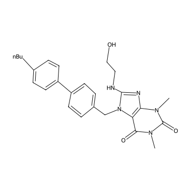 CCCCc1ccc(-c2ccc(Cn3c(NCCO)nc4c3c(=O)n(C)c(=O)n4C)cc2)cc1